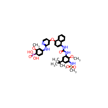 COc1cc(Nc2cc(Oc3ccc(NC(=O)Nc4cc(C(C)(C)C)cc(NS(C)(=O)=O)c4OC)c4ccccc34)ccn2)ccc1P(=O)(O)O